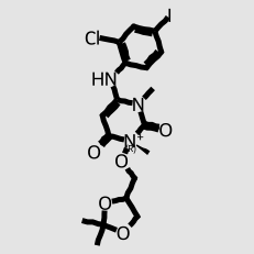 CN1C(=O)[N@+](C)(OCC2COC(C)(C)O2)C(=O)C=C1Nc1ccc(I)cc1Cl